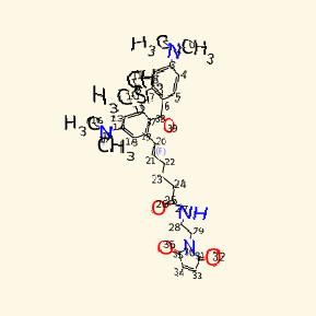 CN(C)c1ccc2c(c1)[Si](C)(C)c1cc(N(C)C)cc(/C=C/CCCC(=O)NCCN3C(=O)C=CC3=O)c1C2=O